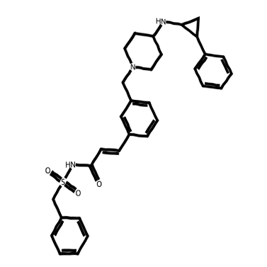 O=C(C=Cc1cccc(CN2CCC(NC3CC3c3ccccc3)CC2)c1)NS(=O)(=O)Cc1ccccc1